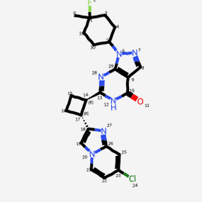 CC1(F)CCC(n2ncc3c(=O)[nH]c([C@@H]4CC[C@H]4c4cn5ccc(Cl)cc5n4)nc32)CC1